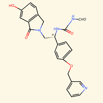 O=CNC(=O)N[C@@H](CN1Cc2ccc(O)cc2C1=O)c1ccc(OCc2cccnc2)cc1